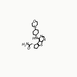 NC(=O)C[C@H]1CCc2sc3ncnc(NC4CCC(N5CCOCC5)CC4)c3c21